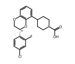 O=C(O)N1CCC(c2cccc3c2O[C@H](c2ccc(Cl)cc2F)CO3)CC1